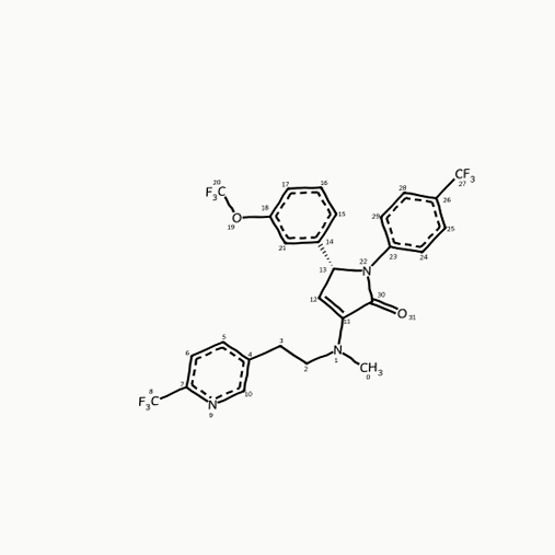 CN(CCc1ccc(C(F)(F)F)nc1)C1=C[C@H](c2cccc(OC(F)(F)F)c2)N(c2ccc(C(F)(F)F)cc2)C1=O